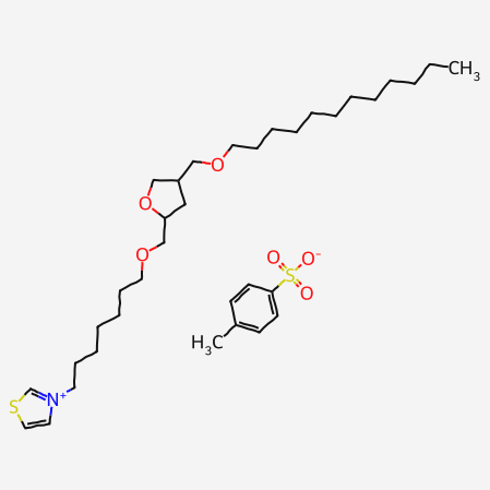 CCCCCCCCCCCCOCC1COC(COCCCCCCC[n+]2ccsc2)C1.Cc1ccc(S(=O)(=O)[O-])cc1